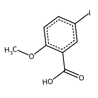 COc1ccc(I)cc1C(=O)O